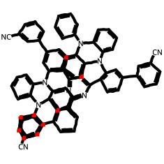 N#Cc1cccc(-c2cccc(-c3nc(-c4ccc(-c5cccc(C#N)c5)cc4N4c5ccccc5N(c5ccccc5)c5ccccc54)nc(-c4ccc(-c5cccc(C#N)c5)cc4N4c5ccccc5N(c5ccccc5)c5ccccc54)n3)c2)c1